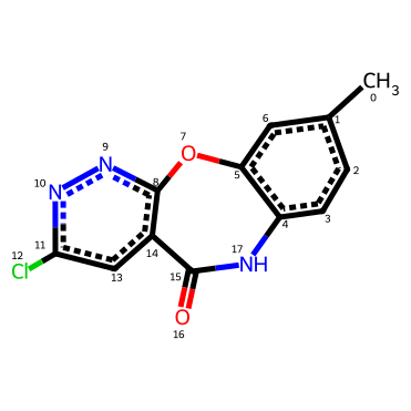 Cc1ccc2c(c1)Oc1nnc(Cl)cc1C(=O)N2